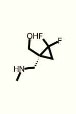 CNC[C@@]1(CO)CC1(F)F